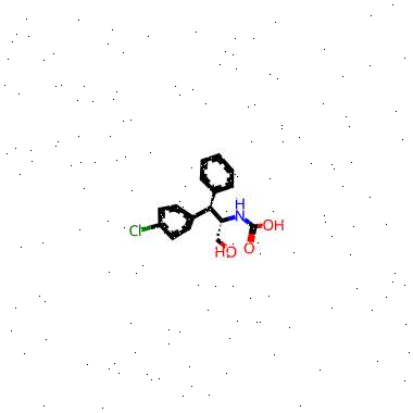 O=C(O)N[C@H](CO)[C@H](c1ccccc1)c1ccc(Cl)cc1